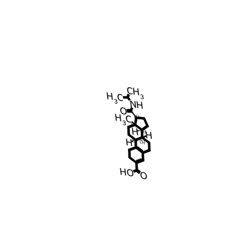 CC(C)NC(=O)[C@H]1CC[C@H]2[C@@H]3CCC4=C(CCC(C(=O)O)=C4)[C@H]3CC[C@]12C